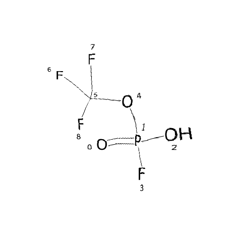 O=P(O)(F)OC(F)(F)F